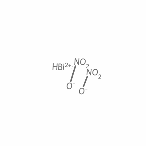 O=[N+]([O-])[O-].O=[N+]([O-])[O-].[BiH+2]